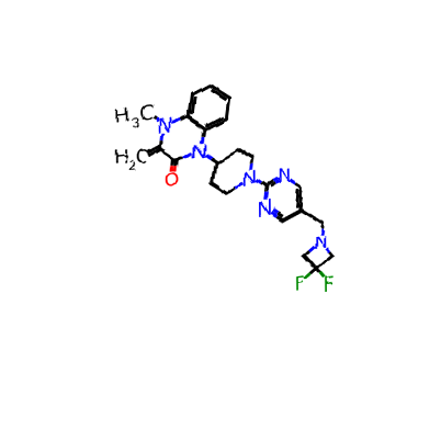 C=C1C(=O)N(C2CCN(c3ncc(CN4CC(F)(F)C4)cn3)CC2)c2ccccc2N1C